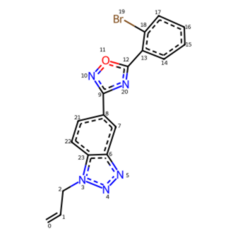 C=CCn1nnc2cc(-c3noc(-c4ccccc4Br)n3)ccc21